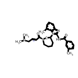 Cc1cccc(C(=O)Nc2nc3cccc(C)c3n2C2CCCCN(C(=O)/C=C/CN(C)C)C2)c1